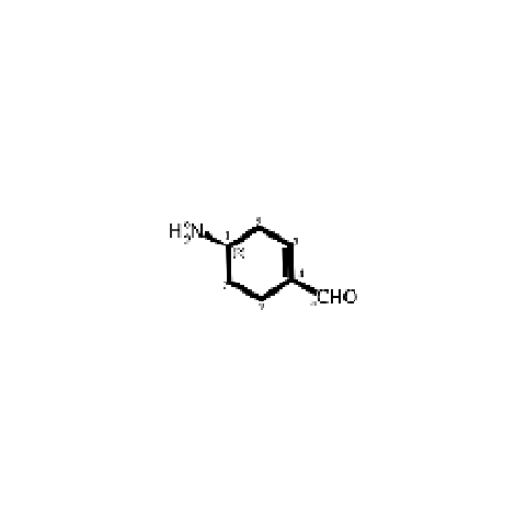 N[C@H]1CC=C(C=O)CC1